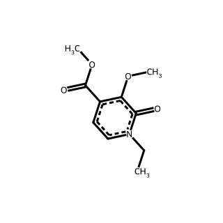 CCn1ccc(C(=O)OC)c(OC)c1=O